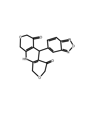 O=C1COCC2=C1C(c1ccc3nonc3c1)C1=C(COCC1=O)N2